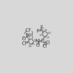 O=C(NCC(F)(F)F)c1cc(NC(=O)C2C(c3cccc(C(F)F)c3)C2(Cl)Cl)ccc1Cl